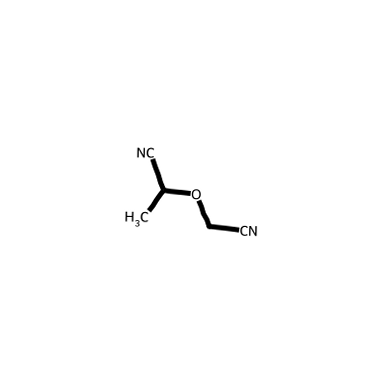 CC(C#N)OCC#N